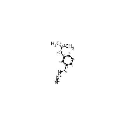 CC(C)Oc1cccc(CN=[N+]=[N-])c1